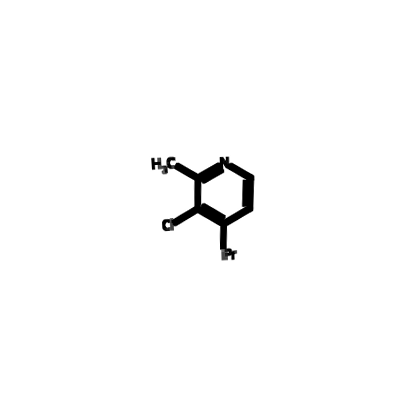 Cc1nccc(C(C)C)c1Cl